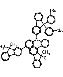 CC(C)(C)c1cccc(C2(c3cccc(C(C)(C)C)c3)c3ccccc3-c3ccc(N(c4ccc(-c5ccc6c(c5)C(C)(C)c5ccccc5-6)cc4)c4ccccc4-c4cccc5c4C(C)(C)c4ccccc4-5)cc32)c1